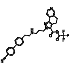 N#Cc1ccc(-c2ccc(CCNCCCn3nc4c(c3C(=O)OC(=O)C(F)(F)F)CCc3cnccc3-4)cc2)cc1